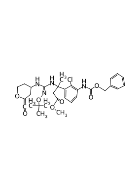 COC(=O)CC(C)(NC(=NOC(C)(C)C)NC1CCOC(=C=O)C1)c1cccc(NC(=O)OCc2ccccc2)c1Cl